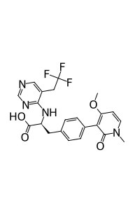 COc1ccn(C)c(=O)c1-c1ccc(C[C@H](Nc2ncncc2CC(F)(F)F)C(=O)O)cc1